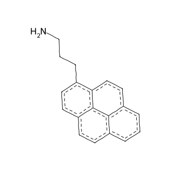 NCCCc1ccc2ccc3cccc4ccc1c2c34